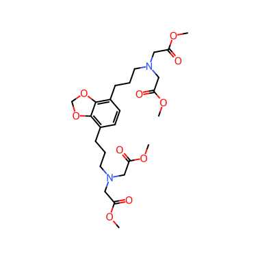 COC(=O)CN(CCCc1ccc(CCCN(CC(=O)OC)CC(=O)OC)c2c1OCO2)CC(=O)OC